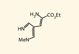 CCOC(=O)/C(N)=C/C(C=N)=C/NC